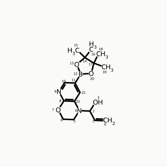 C=CC(O)N1CCOc2ncc(B3OC(C)(C)C(C)(C)O3)cc21